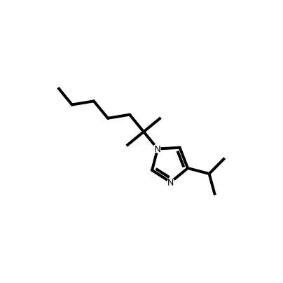 CCCCCC(C)(C)n1cnc(C(C)C)c1